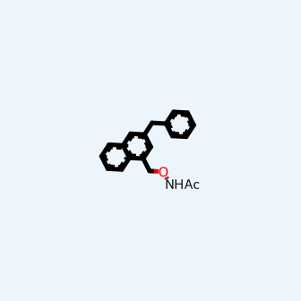 CC(=O)NOCc1cc(Cc2ccccc2)cc2ccccc12